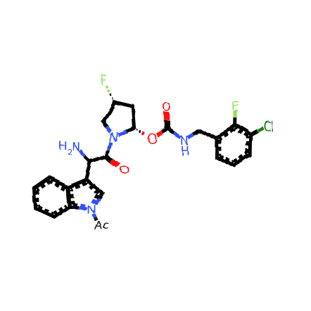 CC(=O)n1cc(C(N)C(=O)N2C[C@H](F)C[C@@H]2OC(=O)NCc2cccc(Cl)c2F)c2ccccc21